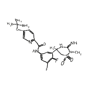 BC(B)(B)Oc1ccc(C(=O)Nc2cc(F)c(F)c([C@]3(C)CS(=O)(=O)N(C)C(=N)N3)c2)nc1